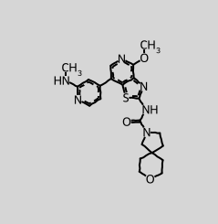 CNc1cc(-c2cnc(OC)c3nc(NC(=O)N4CCC5(CCOCC5)C4)sc23)ccn1